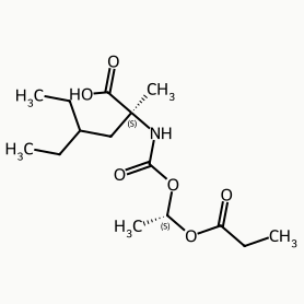 CCC(=O)O[C@H](C)OC(=O)N[C@@](C)(CC(CC)CC)C(=O)O